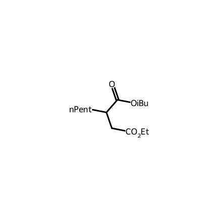 CCCCCC(CC(=O)OCC)C(=O)OCC(C)C